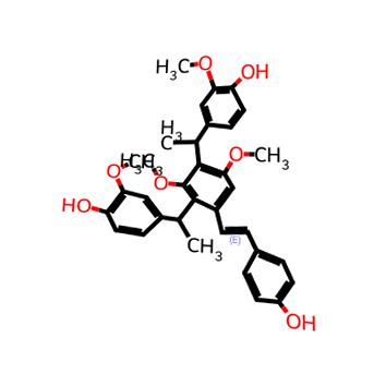 COc1cc(C(C)c2c(/C=C/c3ccc(O)cc3)cc(OC)c(C(C)c3ccc(O)c(OC)c3)c2OC)ccc1O